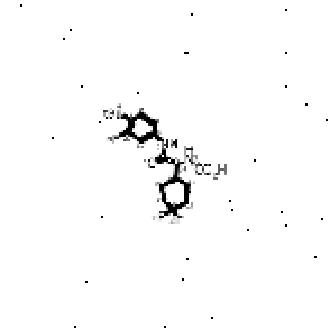 CC(C)(C)c1ccc(NC(=O)[C@H](NC(=O)O)C2CCC(F)(F)CC2)cc1F